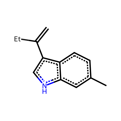 C=C(CC)c1c[nH]c2cc(C)ccc12